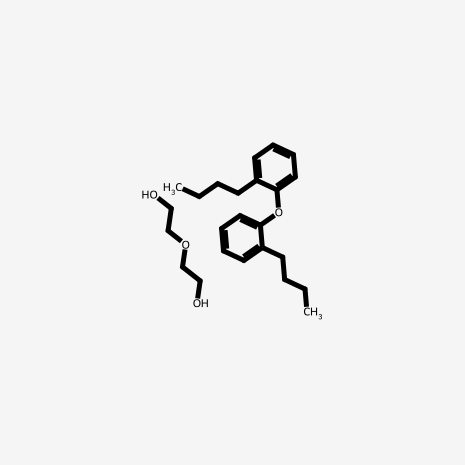 CCCCc1ccccc1Oc1ccccc1CCCC.OCCOCCO